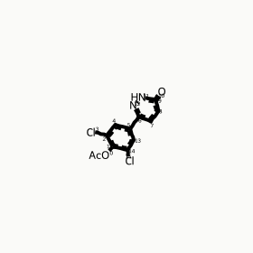 CC(=O)Oc1c(Cl)cc(-c2ccc(=O)[nH]n2)cc1Cl